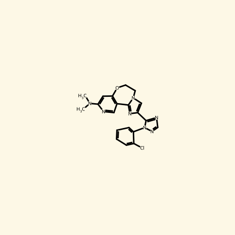 CN(C)c1cc2c(cn1)-c1nc(-c3ncnn3-c3ccccc3Cl)cn1CCO2